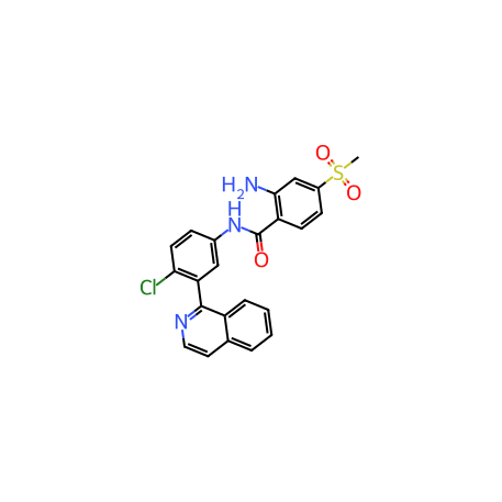 CS(=O)(=O)c1ccc(C(=O)Nc2ccc(Cl)c(-c3nccc4ccccc34)c2)c(N)c1